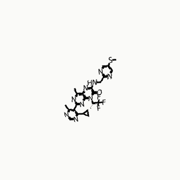 CSc1cnc(CNc2nc3c(C)nc(-c4c(C)ncnc4C4CC4)nc3n([C@@H](C)C(F)(F)F)c2=O)nc1